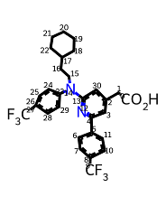 O=C(O)Cc1cc(-c2ccc(C(F)(F)F)cc2)nc(N(CCC2CCCCC2)c2ccc(C(F)(F)F)cc2)c1